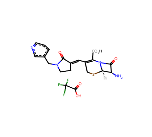 N[C@@H]1C(=O)N2C(C(=O)O)=C(/C=C3\CCN(Cc4cccnc4)C3=O)CS[C@H]12.O=C(O)C(F)(F)F